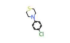 Clc1ccc(N2CCSCC2)cc1